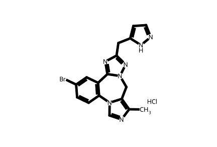 Cc1ncn2c1Cn1nc(Cc3ccn[nH]3)nc1-c1cc(Br)ccc1-2.Cl